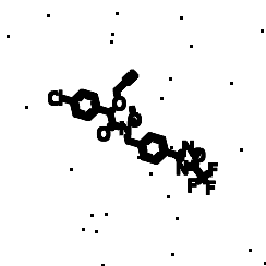 C#CCOC(C(=O)N(Cc1ccc(-c2noc(C(F)(F)F)n2)cc1)OC)c1ccc(Cl)cc1